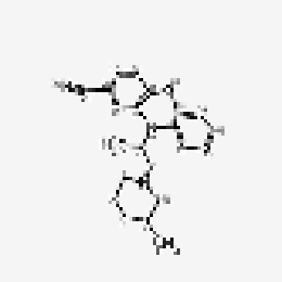 CC1CCCN(CC(C)N2c3ccccc3Sc3ccc(C#N)cc32)C1